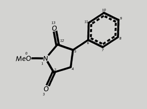 CON1C(=O)CC(c2ccccc2)C1=O